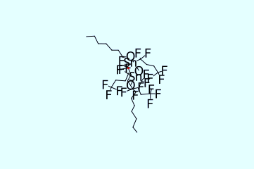 CCCCCCC[O][Sn]([O][Sn]([O]CCCCCCC)([C](F)(F)CCC(F)(F)F)[C](F)(F)CCC(F)(F)F)([C](F)(F)CCC(F)(F)F)[C](F)(F)CCC(F)(F)F